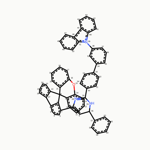 C1=C(c2cccc3c2C2(c4ccccc4Oc4ccccc42)c2ccccc2-3)N=C(c2ccc(-c3cccc(-n4c5ccccc5c5ccccc54)c3)cc2)NC1c1ccccc1